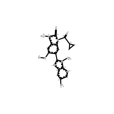 CCSc1cc2c(cc1-c1nc3cc(C(F)(F)F)cnc3n1C)n(C(=O)C1CC1)c(=O)n2C